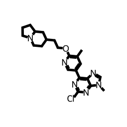 Cc1cc(-c2nc(Cl)nc3c2ncn3C)cnc1OCCC1CCN2CCCC2C1